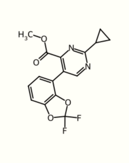 COC(=O)c1nc(C2CC2)ncc1-c1cccc2c1OC(F)(F)O2